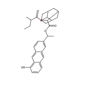 CCC(C)C(=O)OC1C2CC3CC1CC(C2)C3C(=O)OC(C)c1ccc2cc3c(S)cccc3cc2c1